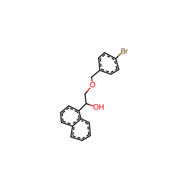 OC(COCc1ccc(Br)cc1)c1cccc2ccccc12